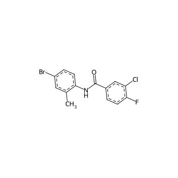 Cc1cc(Br)ccc1NC(=O)c1ccc(F)c(Cl)c1